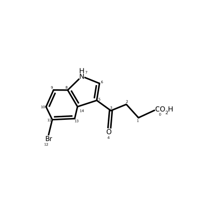 O=C(O)CCC(=O)c1c[nH]c2ccc(Br)cc12